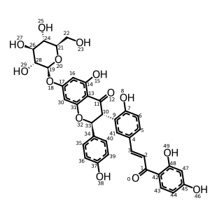 O=C(/C=C/c1ccc(O)c([C@H]2C(=O)c3c(O)cc(O[C@@H]4O[C@H](CO)[C@@H](O)[C@H](O)[C@H]4O)cc3O[C@@H]2c2ccc(O)cc2)c1)c1ccc(O)cc1O